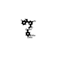 CCCc1cc(C(=O)CNC(=O)c2ccc(OC)c(OC)c2)nc(-c2csc3c(F)cccc23)c1